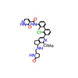 COc1nc(-c2cccc(-c3cccc(NC(=O)c4ccn[nH]c4=O)c3C)c2Cl)cc2c1C(NCC1CCC(=O)N1)CC2